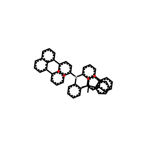 CC1(C)c2ccccc2-c2cccc(N(c3ccc(-c4cccc5cccc(-c6ccccc6)c45)cc3)c3ccccc3-c3ccc4ccccc4c3)c21